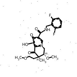 COCC[C@@]1(C)C(=O)c2c(O)c(=O)c(C(=O)NCc3c(F)cccc3F)cn2C[C@@H]1OC